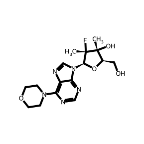 C[C@]1(F)[C@H](n2cnc3c(N4CCOCC4)ncnc32)O[C@H](CO)[C@@]1(C)O